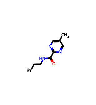 Cc1cnc(C(=O)NCCC(C)C)nc1